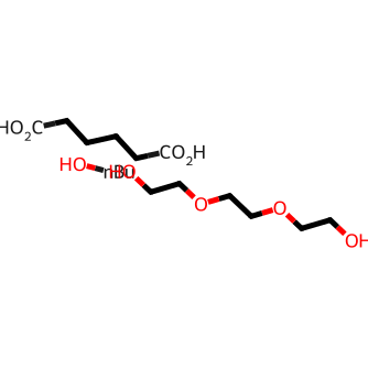 CCCCO.O=C(O)CCCCC(=O)O.OCCOCCOCCO